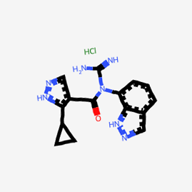 Cl.N=C(N)N(C(=O)c1cn[nH]c1C1CC1)c1cccc2cn[nH]c12